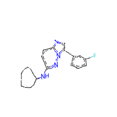 Fc1cccc(-c2cnc3ccc(NC4CCCC4)nn23)c1